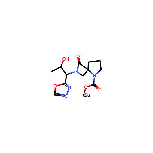 CC(O)C(c1nnco1)N1CC2(CCCN2C(=O)OC(C)(C)C)C1=O